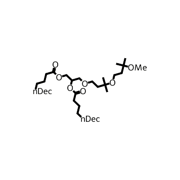 CCCCCCCCCCCCCC(=O)OCC(COCCC(C)(C)OCCC(C)(C)OC)OC(=O)CCCCCCCCCCCCC